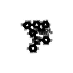 CC1(C)c2ccccc2-c2ccc(-c3ccccc3-c3ccc(-c4nc(-c5ccccc5)nc(-c5ccccc5)n4)cc3)cc2C1(C)C